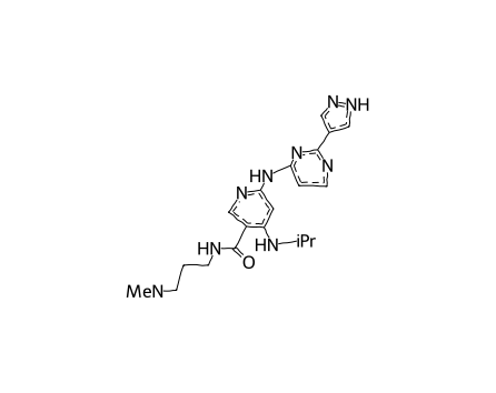 CNCCCNC(=O)c1cnc(Nc2ccnc(-c3cn[nH]c3)n2)cc1NC(C)C